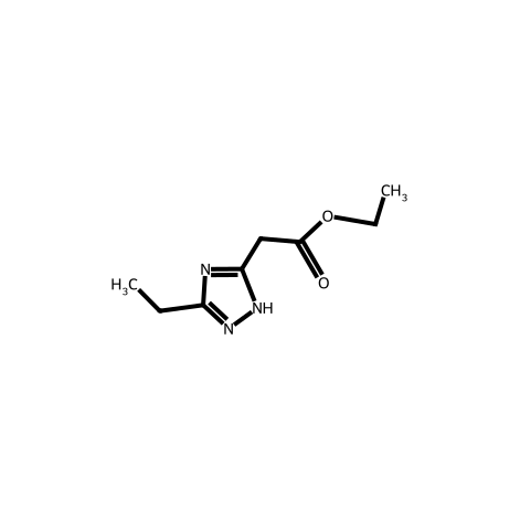 CCOC(=O)Cc1nc(CC)n[nH]1